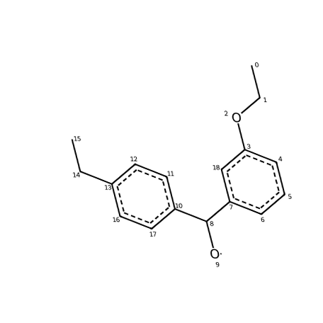 CCOc1cccc(C([O])c2ccc(CC)cc2)c1